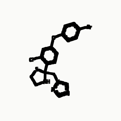 Clc1cc(Oc2ccc(Br)cc2)ccc1C1(Cn2cncn2)NCCS1